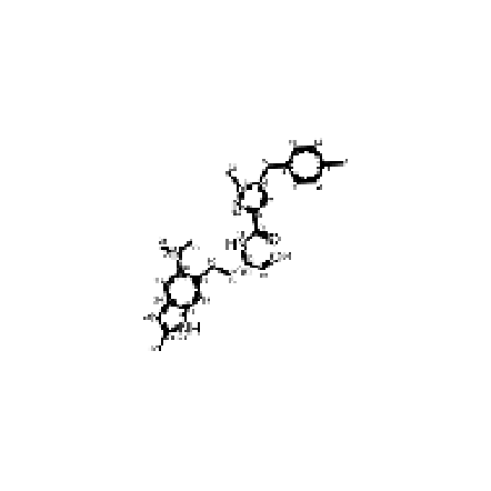 Cc1ccc(Cc2cc(C(=O)N[C@H](C=O)CCc3cc4[nH]c(C)nc4cc3N(C)C)nn2C)cc1